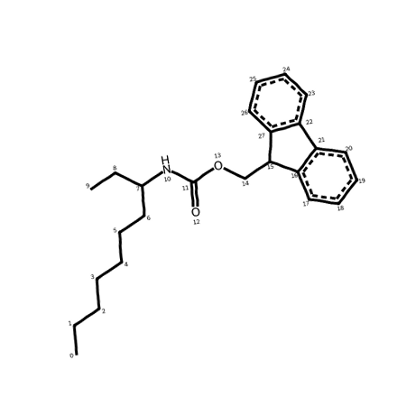 CCCCCCCC(CC)NC(=O)OCC1c2ccccc2-c2ccccc21